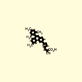 Cc1ccc(C(=Cc2ccc(-c3ccc(/C=C(/C#N)C(=O)O)s3)cc2)c2ccc(C)cc2C)c(C)c1